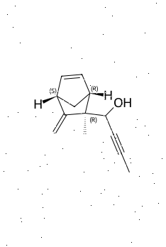 C=C1[C@@H]2C=C[C@@H](C2)[C@@]1(C)C(O)C#CC